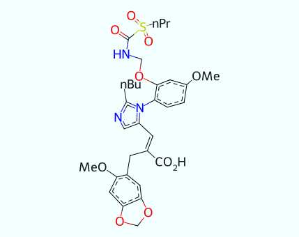 CCCCc1ncc(/C=C(\Cc2cc3c(cc2OC)OCO3)C(=O)O)n1-c1ccc(OC)cc1OCNC(=O)S(=O)(=O)CCC